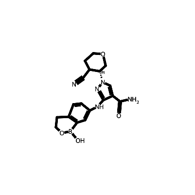 N#CC1CCOC[C@@H]1n1cc(C(N)=O)c(Nc2ccc3c(c2)B(O)OCC3)n1